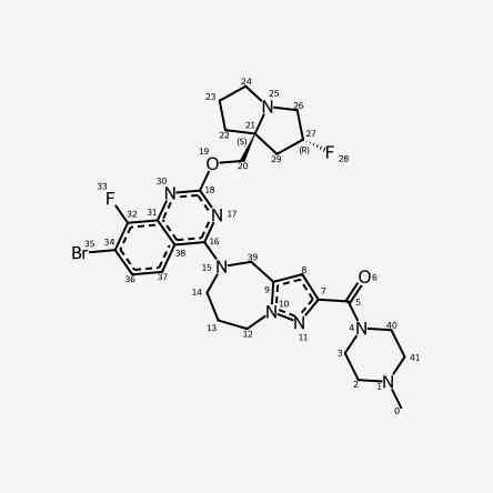 CN1CCN(C(=O)c2cc3n(n2)CCCN(c2nc(OC[C@@]45CCCN4C[C@H](F)C5)nc4c(F)c(Br)ccc24)C3)CC1